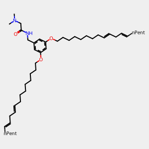 CCCCCC=CCC=CCCCCCCCCOc1cc(CNC(=O)CN(C)C)cc(OCCCCCCCCC=CCC=CCCCCC)c1